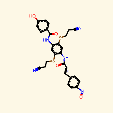 N#CCCSc1cc(NC(=O)c2ccc(O)cc2)c(SCCC#N)cc1NC(=O)/C=C/c1ccc(N=O)cc1